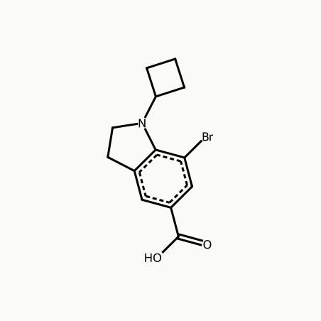 O=C(O)c1cc(Br)c2c(c1)CCN2C1CCC1